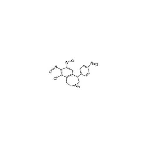 O=Nc1ccc(C2CNCCc3c2cc(N=O)c(N=O)c3Cl)cc1